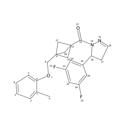 Cc1ccccc1OCC12CC(C(=O)N3N=CCC3c3cc(F)cc(F)c3)(C1)C2